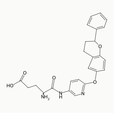 N[C@@H](CCC(=O)O)C(=O)Nc1ccc(Oc2ccc3c(c2)CCC(c2ccccc2)O3)nc1